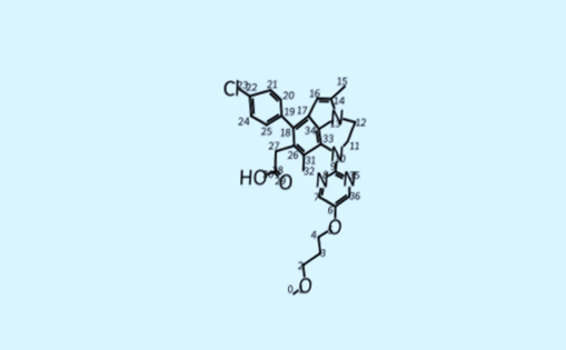 COCCCOc1cnc(N2CCn3c(C)cc4c(-c5ccc(Cl)cc5)c(CC(=O)O)c(C)c2c43)nc1